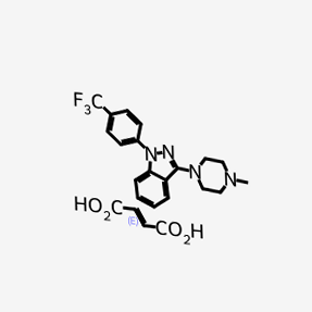 CN1CCN(c2nn(-c3ccc(C(F)(F)F)cc3)c3ccccc23)CC1.O=C(O)/C=C/C(=O)O